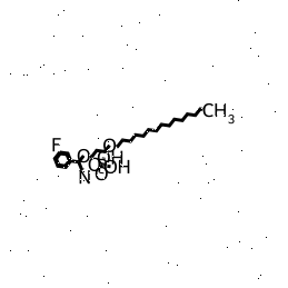 CCCCCCCCCCCCCCCOCCC(OC(C#N)c1cccc(F)c1)OP(=O)(O)O